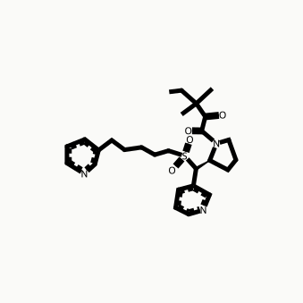 CCC(C)(C)C(=O)C(=O)N1CCC[C@H]1C(c1cccnc1)S(=O)(=O)CCCCCc1cccnc1